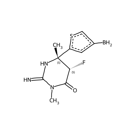 Bc1csc([C@@]2(C)NC(=N)N(C)C(=O)[C@H]2F)c1